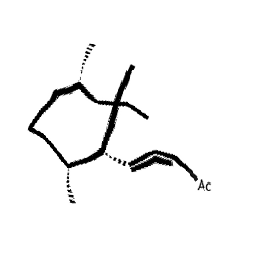 CC(=O)C=C[C@@H]1[C@H](C)CC[C@H](C)C1(C)C